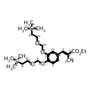 CCOC(=O)/C(C#N)=C/c1ccc(OCOCC[Si](C)(C)C)c(OCOCC[Si](C)(C)C)c1